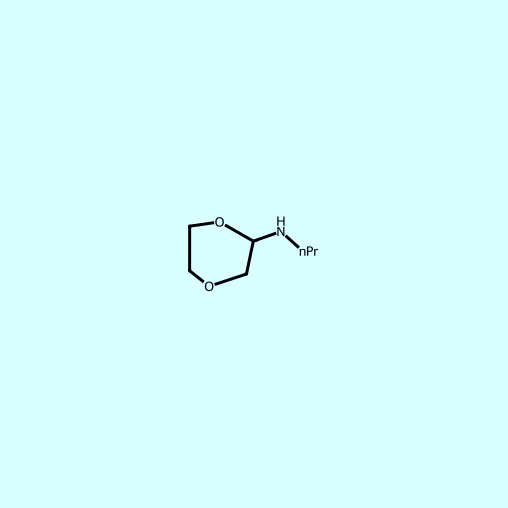 CCCN[C]1COCCO1